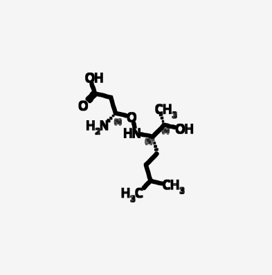 CC(C)CC[C@H](NO[C@H](N)CC(=O)O)[C@H](C)O